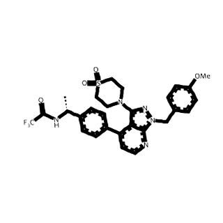 COc1ccc(Cn2nc(N3CCS(=O)(=O)CC3)c3c(-c4ccc([C@@H](C)NC(=O)C(F)(F)F)cc4)ccnc32)cc1